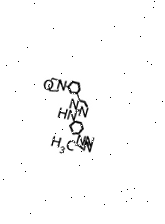 Cc1cnnn1-c1ccc(Nc2nccc(-c3cccc(N4CCOCC4)c3)n2)cc1